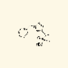 CCCCS(=O)(=O)Nc1cnn(Cc2ccccc2)c1